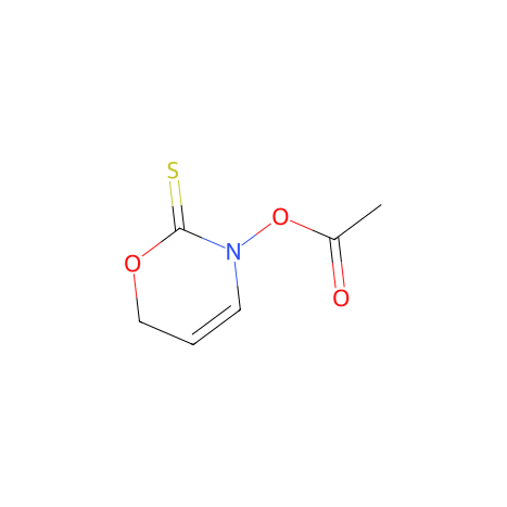 CC(=O)ON1C=CCOC1=S